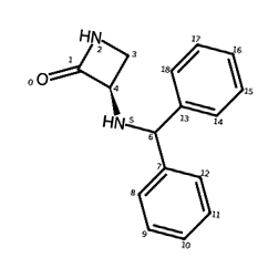 O=C1NC[C@H]1NC(c1ccccc1)c1ccccc1